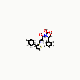 O=C(/C=C/c1sccc1-c1ccccc1)N1C(=O)OCC1c1ccccc1